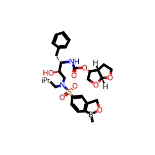 CB1OCc2cc(S(=O)(=O)N(CC(C)C)C[C@@H](O)[C@H](Cc3ccccc3)NC(=O)O[C@H]3CO[C@H]4OCC[C@H]43)ccc21